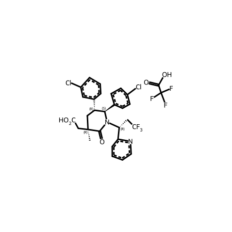 C[C@]1(CC(=O)O)C[C@H](c2cccc(Cl)c2)[C@@H](c2ccc(Cl)cc2)N([C@H](CC(F)(F)F)c2ccccn2)C1=O.O=C(O)C(F)(F)F